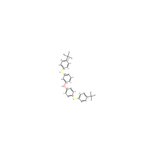 CC(C)(C)c1ccc(Sc2ccc(Oc3cccc(Sc4ccc(C(C)(C)C)cc4)c3)cc2)cc1